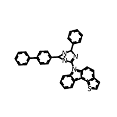 c1ccc(-c2ccc(C3N4C(n5c6ccccc6c6c7sccc7ccc65)=NC(c5ccccc5)N34)cc2)cc1